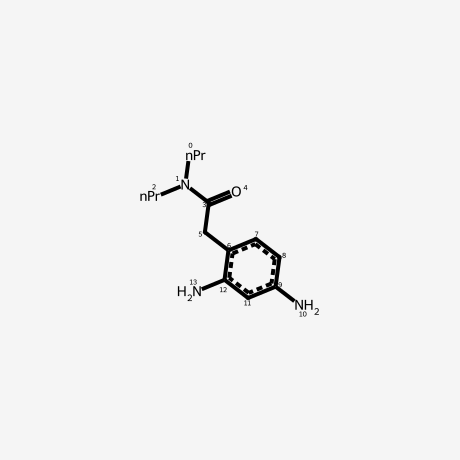 CCCN(CCC)C(=O)Cc1ccc(N)cc1N